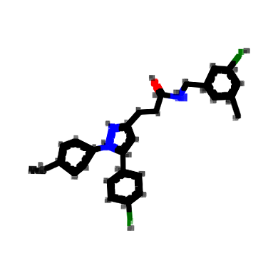 COc1ccc(-n2nc(CCC(=O)NCc3cc(C)cc(F)c3)cc2-c2ccc(F)cc2)cc1